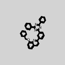 c1ccc(COc2cccc3ccc(-c4cccc(-c5nc(-c6ccccc6)nc(-c6ccccc6)n5)c4)nc23)cc1